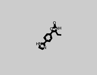 CCc1[nH]c(=O)oc1-c1ccc(-c2ncc[nH]2)cc1